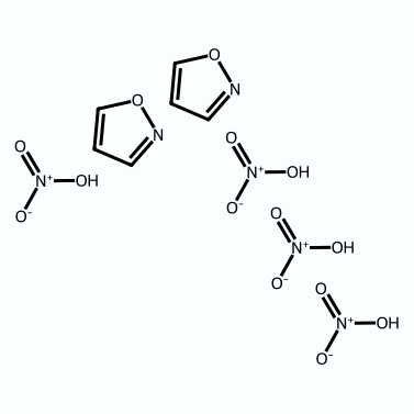 O=[N+]([O-])O.O=[N+]([O-])O.O=[N+]([O-])O.O=[N+]([O-])O.c1cnoc1.c1cnoc1